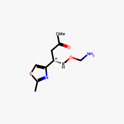 COC(=O)C[C@H](BOCN)c1csc(C)n1